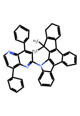 CC1(C)C2=C(C=CCC2)c2c1c1c(c3ccccc23)c2ccccc2n1-c1cc(-c2ccccc2)c2nccc(-c3ccccc3)c2n1